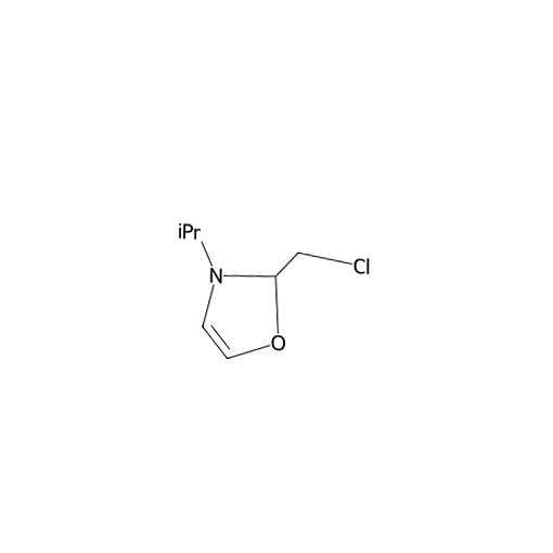 CC(C)N1C=COC1CCl